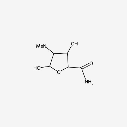 CNC1C(O)OC(C(N)=O)C1O